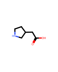 O=C(O)CC1CCNC1